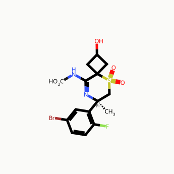 C[C@@]1(c2cc(Br)ccc2F)CS(=O)(=O)C2(CC(O)C2)C(NC(=O)O)=N1